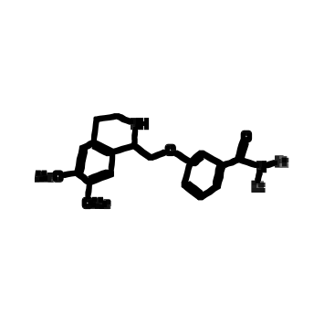 CCN(CC)C(=O)c1cccc(OCC2NCCc3cc(OC)c(OC)cc32)c1